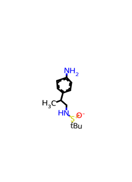 CC(CN[S+]([O-])C(C)(C)C)c1ccc(N)cc1